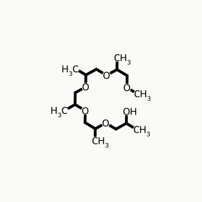 COCC(C)OCC(C)OCC(C)OCC(C)OCC(C)O